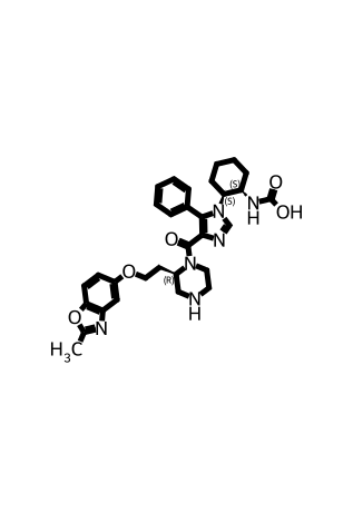 Cc1nc2cc(OCC[C@@H]3CNCCN3C(=O)c3ncn([C@H]4CCCC[C@@H]4NC(=O)O)c3-c3ccccc3)ccc2o1